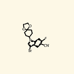 N#Cc1cc2c(Br)cn(C3CCC4(CC3)OCCO4)c2cc1F